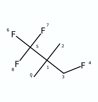 [CH2]C(C)(CF)C(F)(F)F